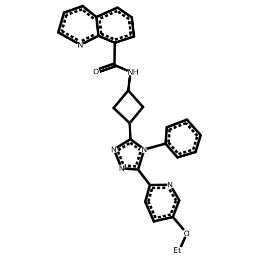 CCOc1ccc(-c2nnc(C3CC(NC(=O)c4cccc5cccnc45)C3)n2-c2ccccc2)nc1